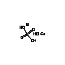 Cl.O=S(=O)(O)O.[Cu].[Ni]